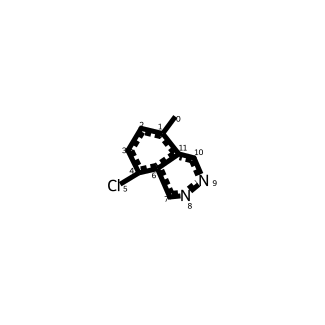 Cc1ccc(Cl)c2cnncc12